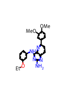 CCOc1cccc(Nc2nc(N)nc3ccc(-c4ccc(OC)c(OC)c4)nc23)c1